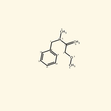 C=C(COC)N(C)Cc1ccccc1